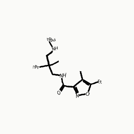 CCCCNCC(C)(CCC)CNC(=O)c1noc(CC)c1C